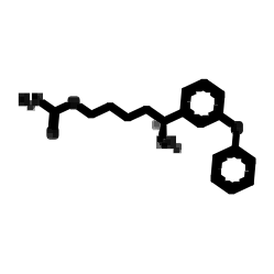 NC(=O)OCCCC[C@H](N)c1cccc(Oc2ccccc2)c1